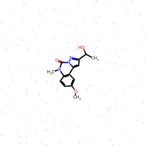 COc1ccc2c(c1)c1cc(C(C)O)nn1c(=O)n2C